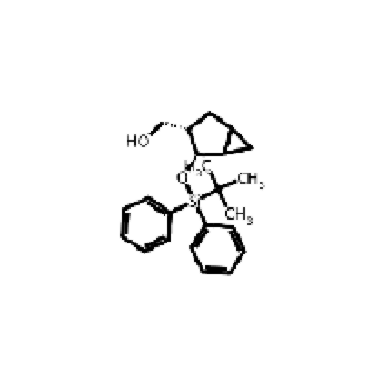 CC(C)(C)[Si](O[C@@H]1C2CC2C[C@H]1CO)(c1ccccc1)c1ccccc1